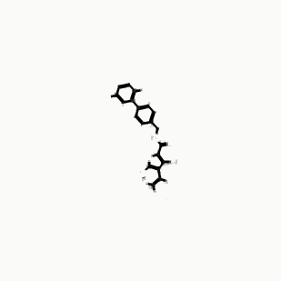 Cc1ccc(Cl)c(-c2ccc(CNC(=O)c3sc4nnc(C)c(C)c4c3N)cc2)c1